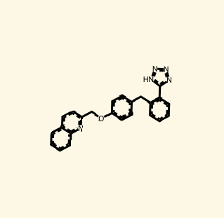 c1ccc(-c2nnn[nH]2)c(Cc2ccc(OCc3ccc4ccccc4n3)cc2)c1